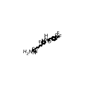 Nc1nnc(CCCCc2ccc(NC(=O)Cc3cccc(OC(F)(F)F)c3)nc2F)s1